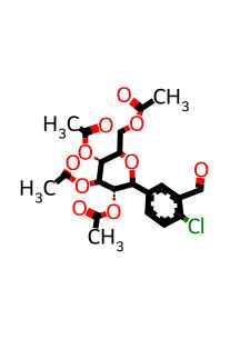 CC(=O)OCC1OC(c2ccc(Cl)c(C=O)c2)[C@H](OC(C)=O)C(OC(C)=O)[C@@H]1OC(C)=O